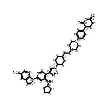 N#Cc1cnc2c(cnn2-c2cc(NC3CCCC3)c(-c3cn(C4CCC(CCN5CCN(c6ccc(C7CCC(=O)NC7=O)cc6)CC5)CC4)nn3)cn2)c1